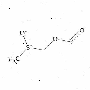 C[S+]([O-])CO[C]=O